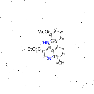 CCOC(=O)c1cnc2c(C)cccc2c1Nc1ccccc1OC